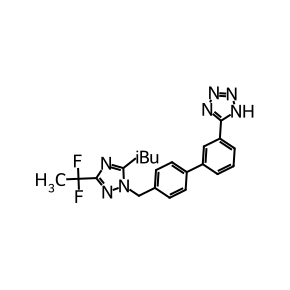 CCC(C)c1nc(C(C)(F)F)nn1Cc1ccc(-c2cccc(-c3nnn[nH]3)c2)cc1